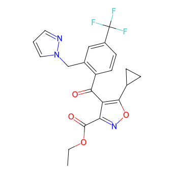 CCOC(=O)c1noc(C2CC2)c1C(=O)c1ccc(C(F)(F)F)cc1Cn1cccn1